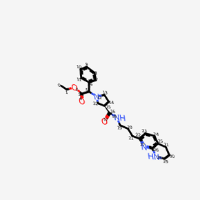 CCOC(=O)C(c1ccccc1)N1CC[C@@H](C(=O)NCCCc2ccc3c(n2)NCCC3)C1